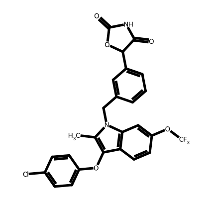 Cc1c(Oc2ccc(Cl)cc2)c2ccc(OC(F)(F)F)cc2n1Cc1cccc(C2OC(=O)NC2=O)c1